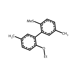 CCOc1ccc(C)cc1-c1cc(C)ccc1SC